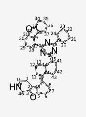 C1=Cc2c(oc3cccc(-c4cccc5c(-c6nc(-c7ccccc7)nc(-c7cccc8oc9ccccc9c78)n6)cccc45)c23)CN1